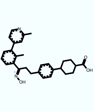 Cc1cc(-c2cccc(/C(CCc3ccc(C4CCC(C(=O)O)CC4)cc3)=N/O)c2C)ccn1